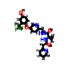 COc1ccc(Oc2ccc(CNC(=O)C3(NC(=O)Cc4ccccn4)CC3)nc2)c(C(F)(F)F)c1